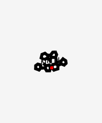 Cn1c2c(-n3c4ccccc4c4ccccc43)cccc2c2cccc(-n3c4ccccc4c4ccccc43)c21